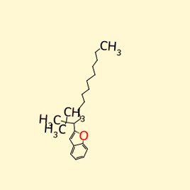 CCCCCCCCCCCC(c1cc2ccccc2o1)C(C)(C)C